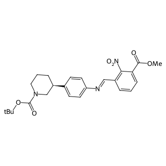 COC(=O)c1cccc(C=Nc2ccc([C@@H]3CCCN(C(=O)OC(C)(C)C)C3)cc2)c1[N+](=O)[O-]